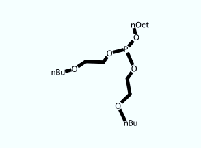 CCCCCCCCOP(OCCOCCCC)OCCOCCCC